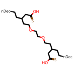 CCCCCCCCCCCCC(CCOCCOCCC(CCCCCCCCCCCC)CC(O)=S)CC(O)=S